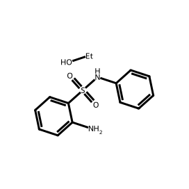 CCO.Nc1ccccc1S(=O)(=O)Nc1ccccc1